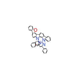 c1ccc(-c2cc(-c3ccccc3)nc(-n3c4ccccc4c4ccc5c6c7oc8ccccc8c7ccc6n(-c6ccccc6)c5c43)n2)cc1